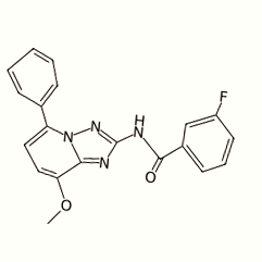 COc1ccc(-c2ccccc2)n2nc(NC(=O)c3cccc(F)c3)nc12